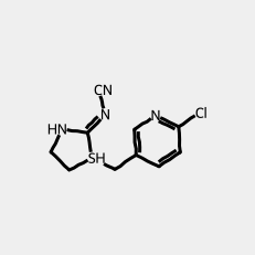 N#CN=C1NCC[SH]1Cc1ccc(Cl)nc1